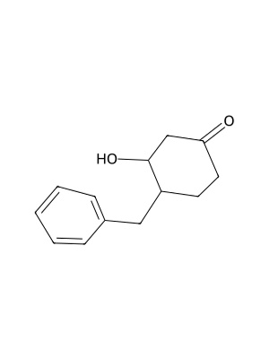 O=C1CCC(Cc2ccccc2)C(O)C1